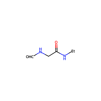 CCNC(=O)CNC=O